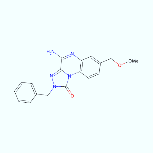 COOCc1ccc2c(c1)nc(N)c1nn(Cc3ccccc3)c(=O)n12